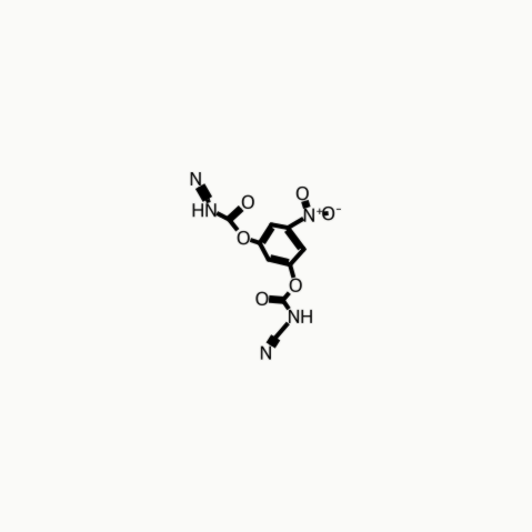 N#CNC(=O)Oc1cc(OC(=O)NC#N)cc([N+](=O)[O-])c1